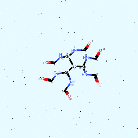 O=C[NH][Sb]([NH]C=O)[Sb]([Sb]([NH]C=O)[NH]C=O)[Sb]([NH]C=O)[NH]C=O